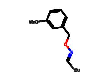 COc1cccc(CON=CC(C)(C)C)c1